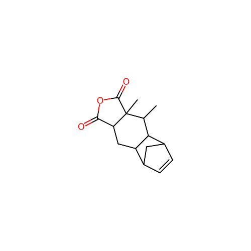 CC1C2C3C=CC(C3)C2CC2C(=O)OC(=O)C21C